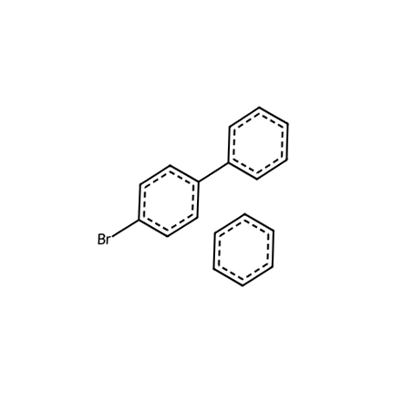 Brc1ccc(-c2ccccc2)cc1.c1ccccc1